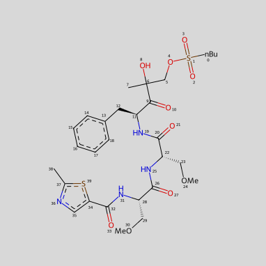 CCCCS(=O)(=O)OCC(C)(O)C(=O)[C@H](Cc1ccccc1)NC(=O)[C@H](COC)NC(=O)[C@H](COC)NC(=O)c1cnc(C)s1